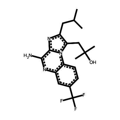 CC(C)Cc1nc2c(N)nc3cc(C(F)(F)F)ccc3n2c1CC(C)(C)O